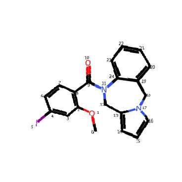 COc1cc(I)ccc1C(=O)N1Cc2cccn2Cc2ccccc21